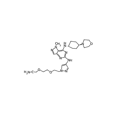 Cn1ncc2nc(Nc3cnn(CCOCCOCCN)c3)nc(N[C@H]3CC[C@H](N4CCOCC4)CC3)c21